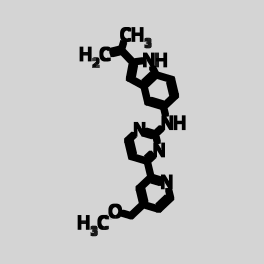 C=C(C)c1cc2cc(Nc3nccc(-c4cc(COC)ccn4)n3)ccc2[nH]1